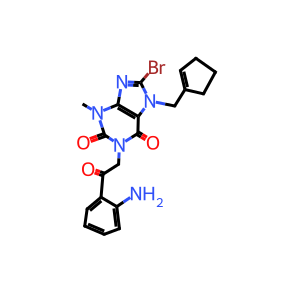 Cn1c(=O)n(CC(=O)c2ccccc2N)c(=O)c2c1nc(Br)n2CC1=CCCC1